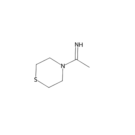 CC(=N)N1CCSCC1